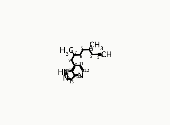 C#CCC(C)CCC(C)Cc1ccnc2cn[nH]c12